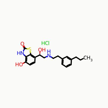 CCCc1cccc(CCNC[C@H](O)c2ccc(O)c3[nH]c(=O)sc23)c1.Cl